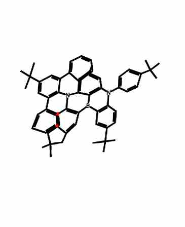 Cc1cc2c3c(c1)N(c1c(-c4ccccc4)cc(C(C)(C)C)cc1-c1ccccc1)c1cc4c(cc1B3c1cc(C(C)(C)C)ccc1N2c1ccc(C(C)(C)C)cc1)CC(C)(C)C4